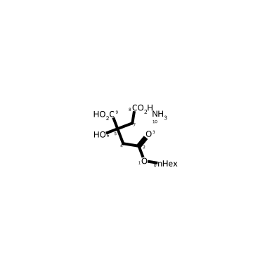 CCCCCCOC(=O)CC(O)(CC(=O)O)C(=O)O.N